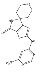 Nc1cc(Nc2cc3c(s2)C(=O)NC32CCOCC2)ncn1